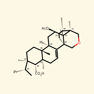 CC(=O)O[C@@H]1C[C@@]23COC[C@@](C)([C@@H]2CC[C@H]2C3=CC[C@@]3(C)[C@H](C(=O)O)[C@@](C)([C@H](C)C(C)C)CC[C@]23C)[C@H]1C